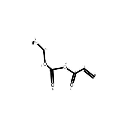 C=CC(=O)OC(=O)OCC(C)C